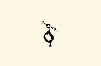 Cn1cc(Cl)nc1-c1ccc(Br)cc1